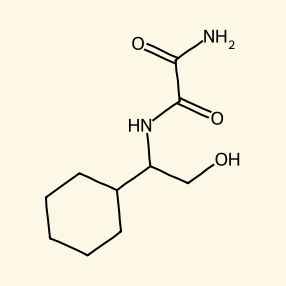 NC(=O)C(=O)NC(CO)C1CCCCC1